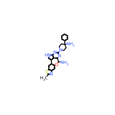 Cc1nc2ccc(-c3c[nH]c4nc(N5CCC(N)(c6ccccc6)CC5)nc(C(N)=O)c34)cc2s1